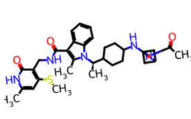 CSc1cc(C)[nH]c(=O)c1CNC(=O)c1c(C)n([C@H](C)C2CCC(NC34CC(C3)N(C(C)=O)C4)CC2)c2ccccc12